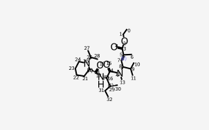 CCOC(=O)/C(C)=C/C(C(C)C)N(C)C(=O)[C@@H](NC(=O)[C@H]1CCCCN1C(C)C)[C@@H](C)CC